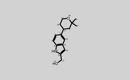 CC1(C)CC(c2ccc3[nH]c(CO)cc3c2)CCO1